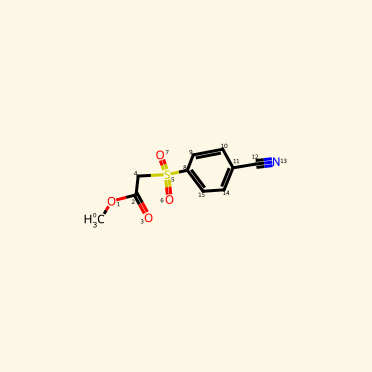 COC(=O)CS(=O)(=O)c1ccc(C#N)cc1